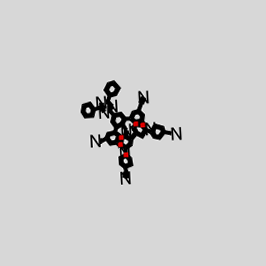 N#Cc1ccc(-c2ccc3c(c2)c2cc(-c4ccc(C#N)cc4)ccc2n3-c2c(-c3cc(C#N)cc(C#N)c3)cc(-c3nc(-c4ccccc4)nc(-c4ccccc4)n3)cc2-c2cc(C#N)cc(C#N)c2)cc1